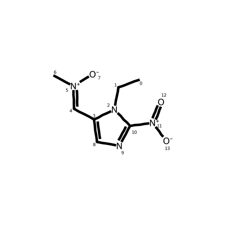 CCn1c(C=[N+](C)[O-])cnc1[N+](=O)[O-]